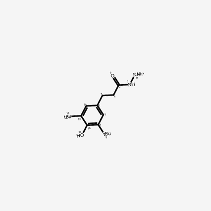 CNNC(=O)CCc1cc(C(C)(C)C)c(O)c(C(C)(C)C)c1